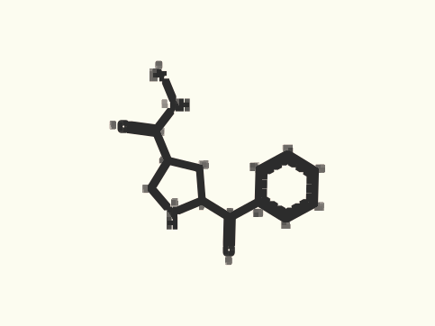 CC(C)NC(=O)C1CNC(C(=O)c2ccccc2)C1